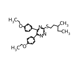 CCOc1ccc(-c2nnc(SCCC(C)CC)nc2-c2ccc(OCC)cc2)cc1